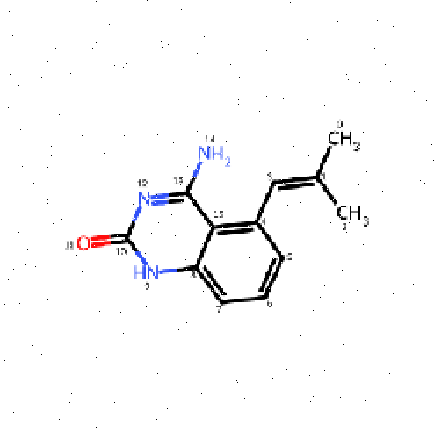 CC(C)=Cc1cccc2[nH]c(=O)nc(N)c12